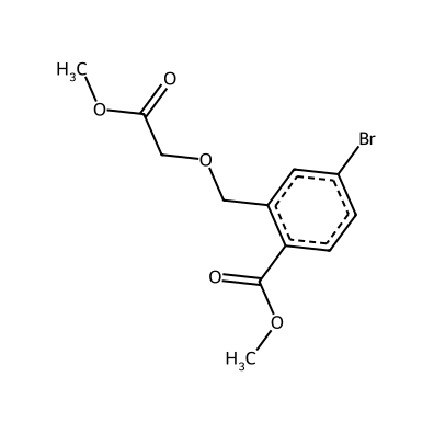 COC(=O)COCc1cc(Br)ccc1C(=O)OC